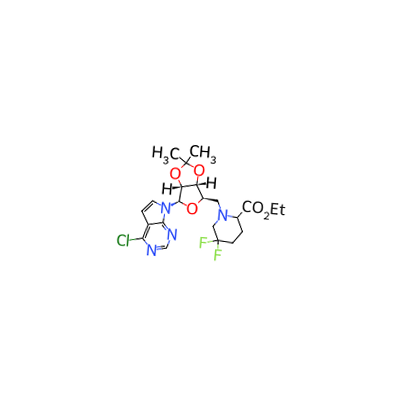 CCOC(=O)C1CCC(F)(F)CN1C[C@H]1O[C@@H](n2ccc3c(Cl)ncnc32)[C@@H]2OC(C)(C)O[C@@H]21